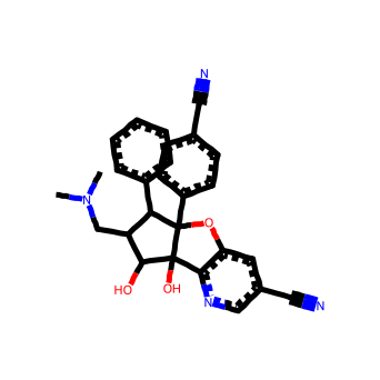 CN(C)CC1C(O)C2(O)c3ncc(C#N)cc3OC2(c2ccc(C#N)cc2)C1c1ccccc1